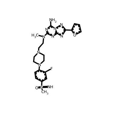 CN(CCN1CCN(c2ccc(S(C)(=N)=O)cc2F)CC1)c1nc(N)n2nc(-c3ccco3)nc2n1